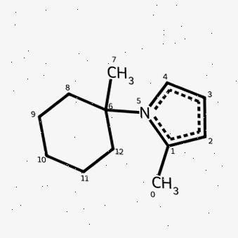 Cc1cccn1C1(C)CCCCC1